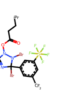 CC(C)CCC(=O)ON1C=NC(Br)(c2cc(C(F)(F)F)cc(S(F)(F)(F)(F)F)c2)N1Br